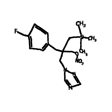 C[Si](C)(C)CC(Cn1cncn1)(O[N+](=O)[O-])c1ccc(F)cc1